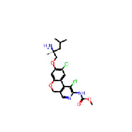 COC(=O)Nc1ncc2c(c1Cl)-c1cc(Cl)c(OC[C@@](C)(N)CC(C)C)cc1OC2